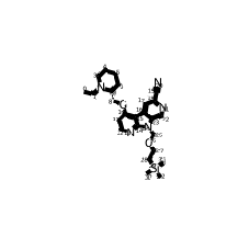 CCN1CCCC[C@@H]1COc1ccnc2c1c1cc(C#N)ncc1n2COCC[Si](C)(C)C